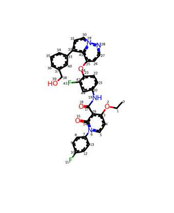 CCOc1ccn(-c2ccc(F)cc2)c(=O)c1C(=O)Nc1ccc(Oc2ccnn3ccc(-c4cccc(CO)c4)c23)c(F)c1